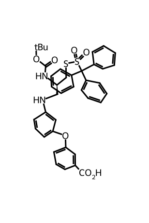 CC(C)(C)OC(=O)N[C@H](CNc1cccc(Oc2cccc(C(=O)O)c2)c1)CSS(=O)(=O)C(c1ccccc1)(c1ccccc1)c1ccccc1